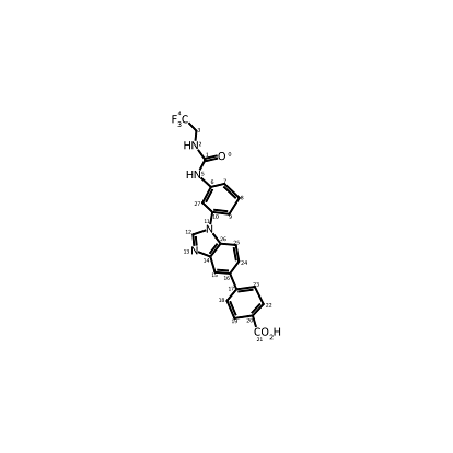 O=C(NCC(F)(F)F)Nc1cccc(-n2cnc3cc(-c4ccc(C(=O)O)cc4)ccc32)c1